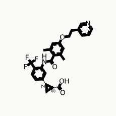 Cc1cc(OCCc2cccnc2)cc(C)c1C(=O)Nc1cc([C@H]2C[C@H]2C(=O)O)ccc1C(F)(F)F